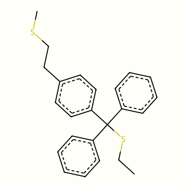 CCSC(c1ccccc1)(c1ccccc1)c1ccc(CCSC)cc1